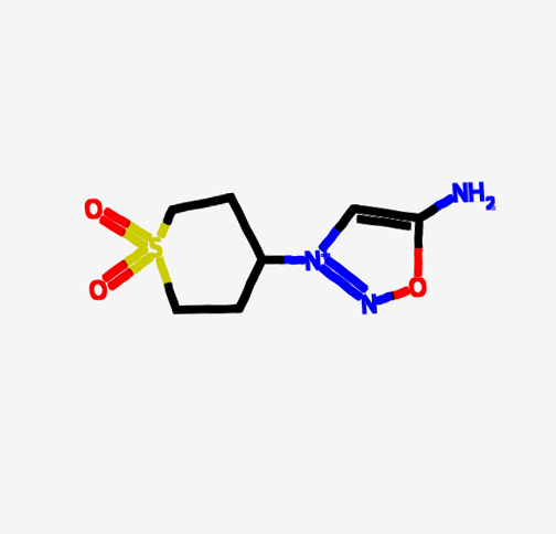 Nc1c[n+](C2CCS(=O)(=O)CC2)no1